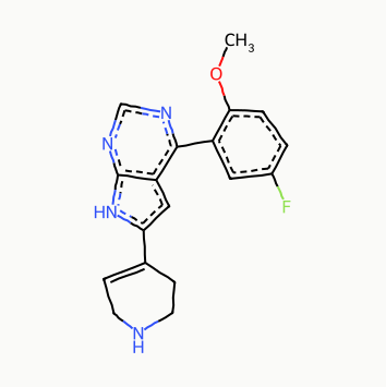 COc1ccc(F)cc1-c1ncnc2[nH]c(C3=CCNCC3)cc12